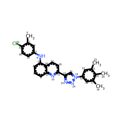 Cc1cc(Nc2cccc3nc(-c4cn(-c5cc(C)c(C)c(C)c5)nn4)ccc23)ccc1Cl